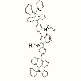 CN1c2cc(-c3c4ccccc4c(N(c4ccccc4)c4ccccc4)c4ccccc34)ccc2-c2cc3c(c4cccc1c24)c1ccc(-c2c4ccccc4c(N(c4ccccc4)c4ccccc4)c4ccccc24)cc1n3C